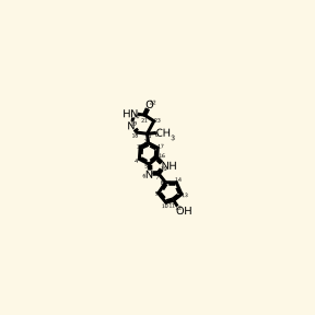 CC1(c2ccc3nc(-c4ccc(O)cc4)[nH]c3c2)C=NNC(=O)C1